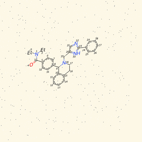 CCN(CC)C(=O)c1ccc(C2c3ccccc3CCN2Cc2cnc(-c3ccccc3)[nH]2)cc1